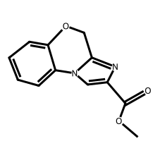 COC(=O)c1cn2c(n1)COc1ccccc1-2